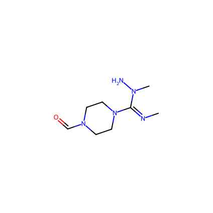 CN=C(N(C)N)N1CCN(C=O)CC1